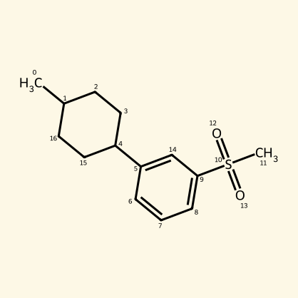 CC1CCC(c2cccc(S(C)(=O)=O)c2)CC1